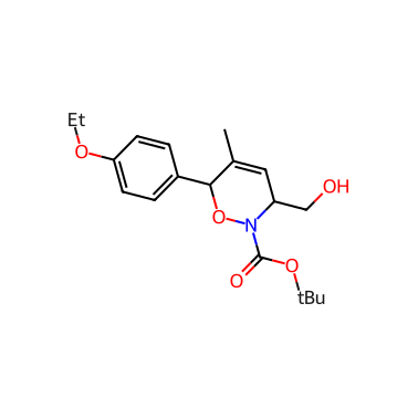 CCOc1ccc(C2ON(C(=O)OC(C)(C)C)C(CO)C=C2C)cc1